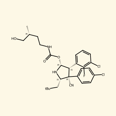 C[C@@H](CO)CCNC(=O)O[C@H]1N[C@@H](CC(C)(C)C)[C@](C#N)(c2ccc(Cl)cc2)[C@H]1c1cccc(Cl)c1F